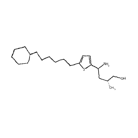 C[C@@H](CO)CC(N)c1ccc(CCCCCCC2CCCCC2)s1